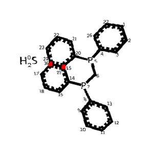 S.c1ccc(P(CP(c2ccccc2)c2ccccc2)c2ccccc2)cc1